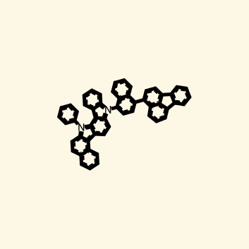 c1ccc(-n2c3ccc4ccccc4c3c3ccc4c(c5ccccc5n4-c4ccc(-c5ccc6c7c(cccc57)-c5ccccc5-6)c5ccccc45)c32)cc1